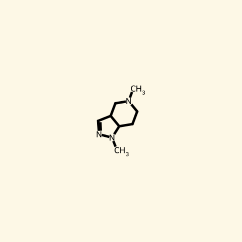 CN1CCC2C(C=NN2C)C1